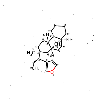 CC[C@H](c1ccoc1)[C@@]1(C)CC[C@H]2[C@@H](CC[C@@H]3CCCC[C@@]32C)C1